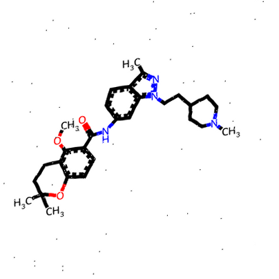 COc1c(C(=O)Nc2ccc3c(C)nn(CCC4CCN(C)CC4)c3c2)ccc2c1CCC(C)(C)O2